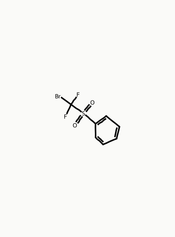 O=S(=O)(c1ccccc1)C(F)(F)Br